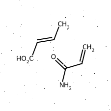 C/C=C/C(=O)O.C=CC(N)=O